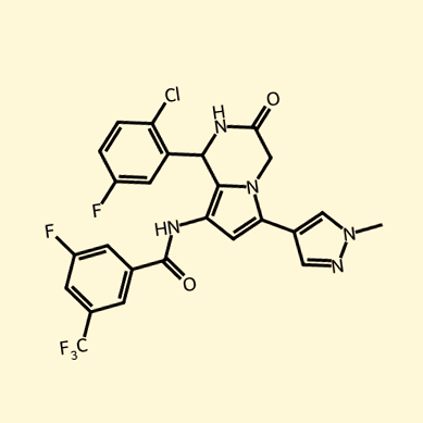 Cn1cc(-c2cc(NC(=O)c3cc(F)cc(C(F)(F)F)c3)c3n2CC(=O)NC3c2cc(F)ccc2Cl)cn1